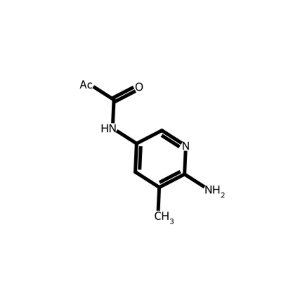 CC(=O)C(=O)Nc1cnc(N)c(C)c1